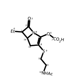 CCC1C(=O)N2C(OC(=O)O)=C(SCCNC(C)=O)CC12